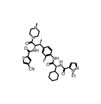 CCn1nccc1C(=O)N[C@H](C(=O)Nc1ccc([C@H](C)[C@@H](NC(=O)c2cc(C#N)cs2)C(=O)N2CCN(C)CC2)cc1F)C1CCCCC1